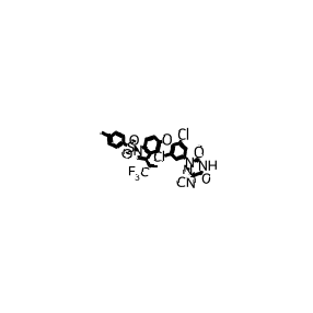 Cc1ccc(S(=O)(=O)n2cc(C(C)C(F)(F)F)c3cc(Oc4c(Cl)cc(-n5nc(C#N)c(=O)[nH]c5=O)cc4Cl)ccc32)cc1